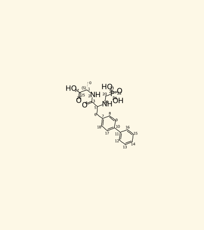 C[C@H](NC(=O)C(Cc1ccc(-c2ccccc2)cc1)NCP(=O)(O)O)C(=O)O